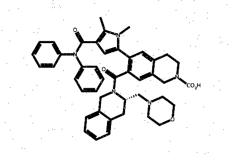 Cc1c(C(=O)N(c2ccccc2)c2ccccc2)cc(-c2cc3c(cc2C(=O)N2Cc4ccccc4C[C@H]2CN2CCOCC2)CN(C(=O)O)CC3)n1C